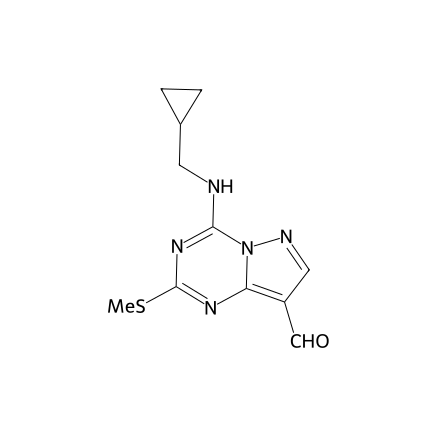 CSc1nc(NCC2CC2)n2ncc(C=O)c2n1